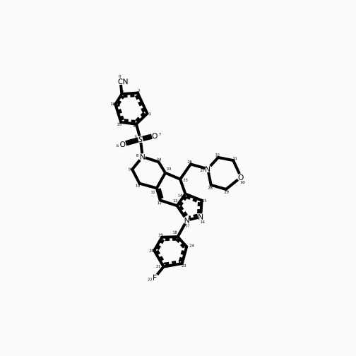 N#Cc1ccc(S(=O)(=O)N2CCC3=Cc4c(cnn4-c4ccc(F)cc4)C(CN4CCOCC4)C3C2)cc1